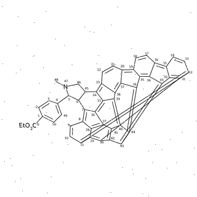 CCOC(=O)c1ccc(C2C3c4c5ccc6c7ccc8c9ccc%10c%11ccc%12c(c%13c4c4c5c6c5c7c8c6c9c%10c7c%11c%12c%13c8c4c5c6c78)C3CN2C)cc1